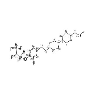 COCC1CCC(C2CCC(CCc3ccc(OC(F)(F)C(F)C(F)(F)F)c(F)c3)CC2)CC1